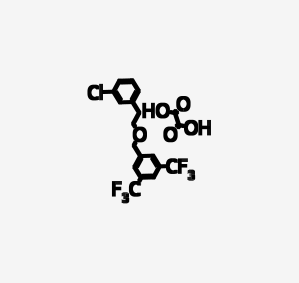 FC(F)(F)c1cc(COCCc2cccc(Cl)c2)cc(C(F)(F)F)c1.O=C(O)C(=O)O